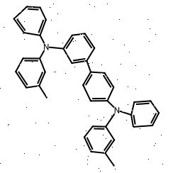 Cc1cccc(N(c2ccccc2)c2ccc(-c3cccc(N(c4ccccc4)c4cccc(C)c4)c3)cc2)c1